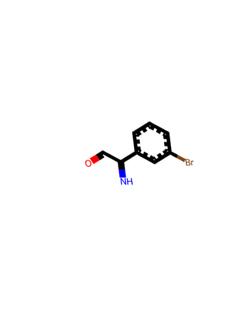 N=C(C=O)c1cccc(Br)c1